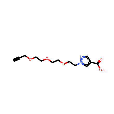 C#CCOCCOCCOCCn1cc(C(=O)O)cn1